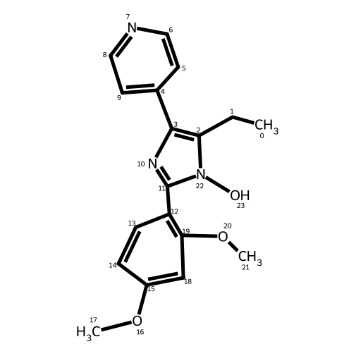 CCc1c(-c2ccncc2)nc(-c2ccc(OC)cc2OC)n1O